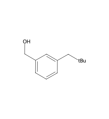 CC(C)(C)Cc1cccc(CO)c1